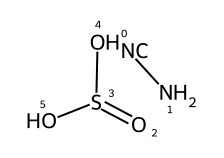 N#CN.O=S(O)O